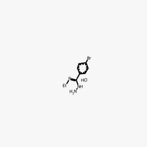 CCN=C(NN)c1ccc(Br)cc1.Cl